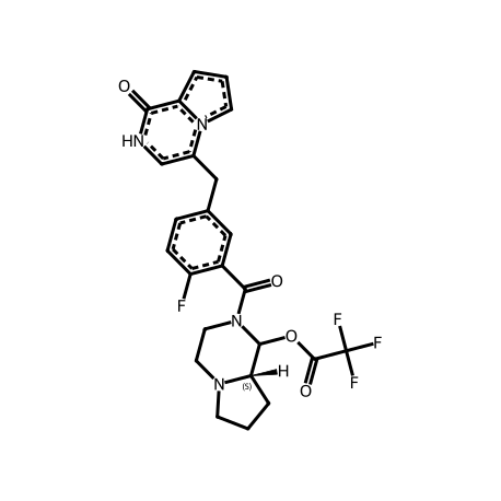 O=C(c1cc(Cc2c[nH]c(=O)c3cccn23)ccc1F)N1CCN2CCC[C@H]2C1OC(=O)C(F)(F)F